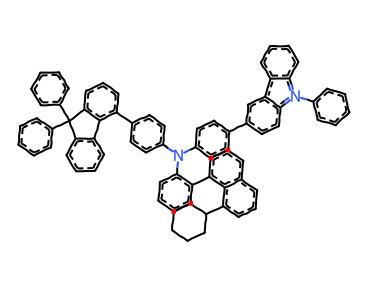 c1ccc(-n2c3ccccc3c3cc(-c4ccc(N(c5ccc(-c6cccc7c6-c6ccccc6C7(c6ccccc6)c6ccccc6)cc5)c5ccccc5-c5cccc6cccc(C7CCCCC7)c56)cc4)ccc32)cc1